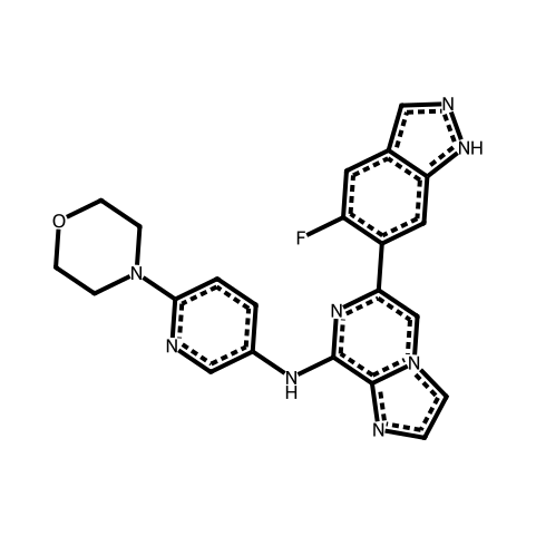 Fc1cc2cn[nH]c2cc1-c1cn2ccnc2c(Nc2ccc(N3CCOCC3)nc2)n1